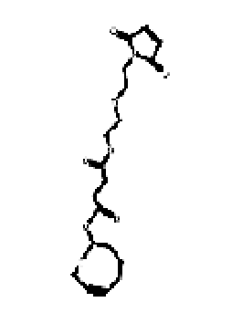 O=C(CCC(=O)OC1CCC#CCCC1)OCCOCCN1C(=O)C=CC1=O